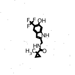 CC1(C(=O)NCc2cc3cc(C(F)(F)F)c(O)cc3[nH]2)CC1